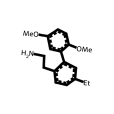 CCc1ccc(CCN)c(-c2cc(OC)ccc2OC)c1